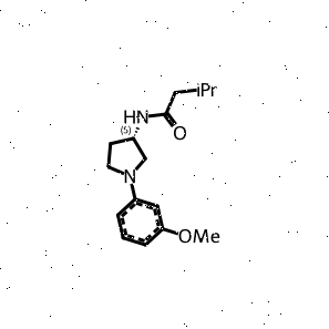 COc1cccc(N2CC[C@H](NC(=O)CC(C)C)C2)c1